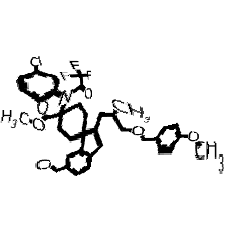 COC(=O)C1(N(C(=O)C(F)(F)F)c2cccc(Cl)c2)CCC2(CC1)C(C[C@@H](C)COCc1ccc(OC)cc1)=Cc1ccc(C=O)cc12